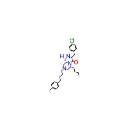 CCCC[C@H]1CN(CCCCc2ccc(C)cc2)[C@H](C)CN1C(=O)C(N)Cc1ccc(Cl)cc1